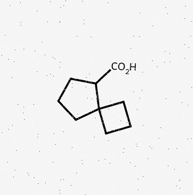 O=C(O)C1CCCC12CCC2